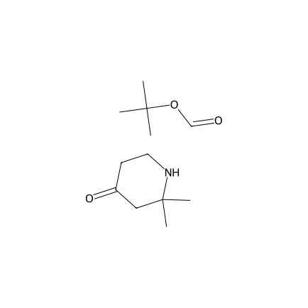 CC(C)(C)OC=O.CC1(C)CC(=O)CCN1